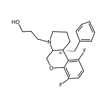 OCCCN1CCC[C@@]2(Cc3ccccc3)c3c(F)ccc(F)c3OCC12